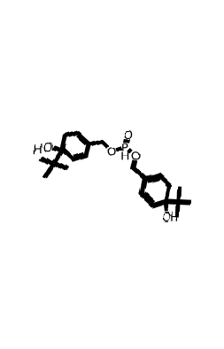 CC(C)(C)C1(O)C=CC(CO[PH](=O)OCC2=CCC(O)(C(C)(C)C)C=C2)=CC1